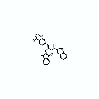 COC(=O)c1ccc(C=C(CNc2cnc3ccccc3c2)CN2C(=O)c3ccccc3C2=O)cc1